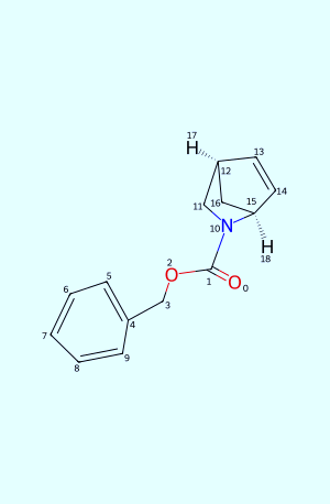 O=C(OCc1ccccc1)N1C[C@H]2C=C[C@@H]1C2